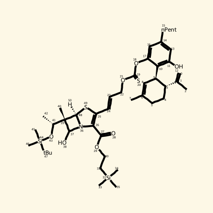 C=C(C)[C@@H]1CCC(C)=C[C@H]1c1c(O)cc(CCCCC)cc1OC(=S)OC/C=C/C1=C(C(=O)OCC[Si](C)(C)C)N2C(O)[C@](C)([C@@H](C)O[Si](C)(C)C(C)(C)C)[C@H]2S1